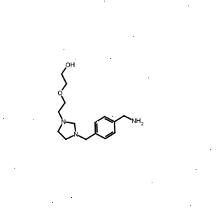 NCc1ccc(CN2CCN(CCOCCO)C2)cc1